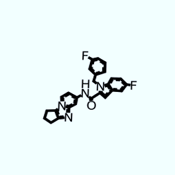 O=C(Nc1ccn2c3c(nc2c1)CCC3)c1cc2cc(F)ccc2n1Cc1cccc(F)c1